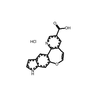 Cl.O=C(O)c1cnc2c(c1)C=COc1cc3[nH]ccc3cc1-2